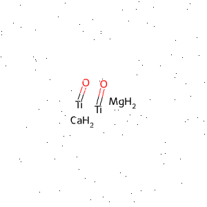 [CaH2].[MgH2].[O]=[Ti].[O]=[Ti]